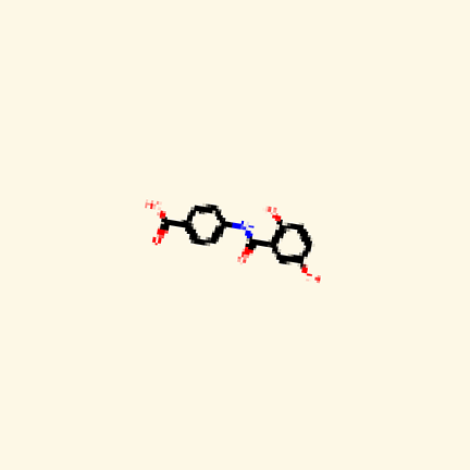 O=C(O)c1ccc(NC(=O)c2cc(O)ccc2O)cc1